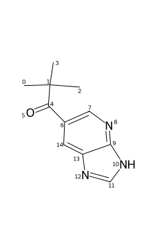 CC(C)(C)C(=O)c1cnc2[nH]cnc2c1